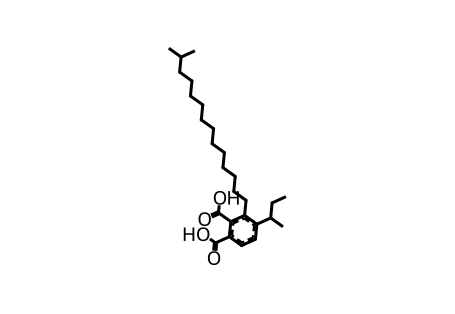 CCC(C)c1ccc(C(=O)O)c(C(=O)O)c1CCCCCCCCCCCCC(C)C